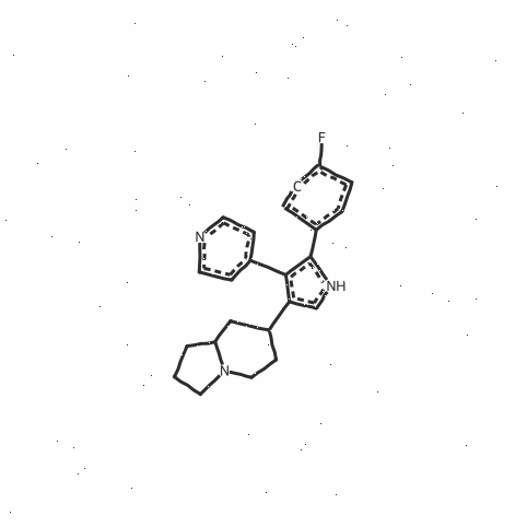 Fc1ccc(-c2[nH]cc(C3CCN4CCCC4C3)c2-c2ccncc2)cc1